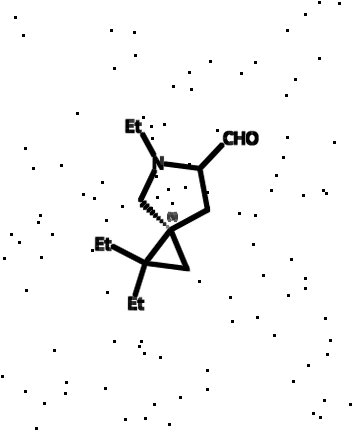 CCN1C[C@]2(CC1C=O)CC2(CC)CC